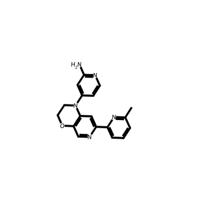 Cc1cccc(-c2cc3c(cn2)OCCN3c2ccnc(N)c2)n1